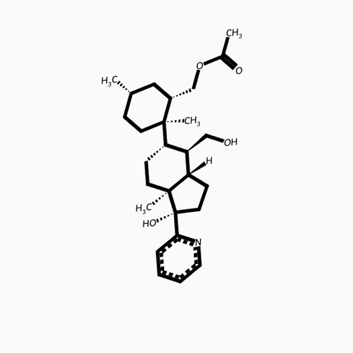 CC(=O)OC[C@H]1C[C@@H](C)CC[C@]1(C)[C@H]1CC[C@@]2(C)[C@@H](CC[C@@]2(O)c2ccccn2)[C@@H]1CO